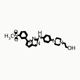 CS(=O)(=O)c1cccc(-c2ccc3cnc(Nc4ccc(N5CCN(CCO)CC5)cc4)nn23)c1